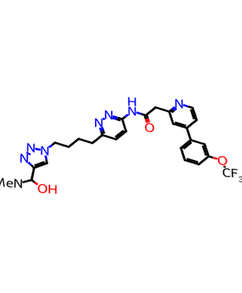 CNC(O)c1cn(CCCCc2ccc(NC(=O)Cc3cc(-c4cccc(OC(F)(F)F)c4)ccn3)nn2)nn1